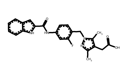 Cc1nn(Cc2ccc(NC(=O)c3cc4ccccc4[nH]3)cc2F)c(C)c1CC(=O)O